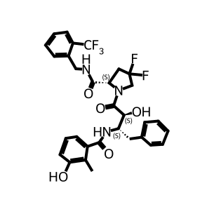 Cc1c(O)cccc1C(=O)N[C@@H](Cc1ccccc1)[C@H](O)C(=O)N1CC(F)(F)C[C@H]1C(=O)NCc1ccccc1C(F)(F)F